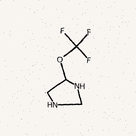 FC(F)(F)OC1[CH]NCN1